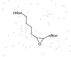 CCCCCCCCCCCCCC1OC1CCCCCCCCC